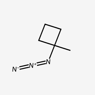 CC1(N=[N+]=[N-])CCC1